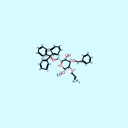 C=CCO[C@H]1[C@H](OCC)O[C@H](COC(c2ccccc2)(c2ccccc2)c2ccccc2)[C@@H](O)[C@@H]1OCc1ccccc1